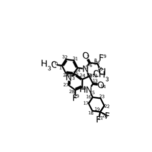 Cc1ccc(N(C(=O)[C@H](F)Cl)[C@@](C)(C(=O)NC2CCC(F)(F)CC2)c2cncc(F)c2)cc1